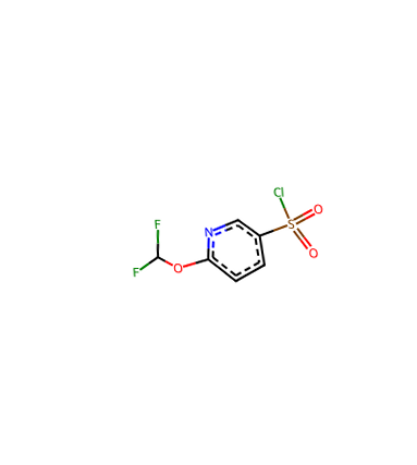 O=S(=O)(Cl)c1ccc(OC(F)F)nc1